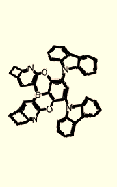 c1ccc2c(c1)c1ccccc1n2-c1cc(-n2c3ccccc3c3ccccc32)c2c3c1Oc1nc4c(cc1B3c1cc3c(nc1O2)CC3)CC4